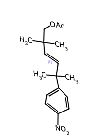 CC(=O)OCC(C)(C)/C=C/C(C)(C)c1ccc([N+](=O)[O-])cc1